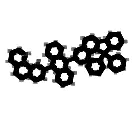 c1ccc(C2(c3ccccc3)c3ccccc3-c3ccc4cc(-c5c6ccccc6c(-c6ccc7ccc8cccnc8c7n6)c6ccccc56)ccc4c32)cc1